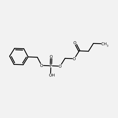 CCCC(=O)OCOP(=O)(O)OCc1ccccc1